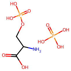 NC(COP(=O)(O)O)C(=O)O.O=P(O)(O)O